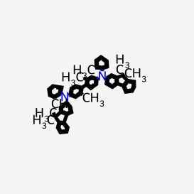 Cc1cc(N(c2ccc3c(c2)C(C)(C)c2ccccc2-3)c2ccccc2C)ccc1-c1ccc(N(c2ccc3c(c2)C(C)(C)c2ccccc2-3)c2ccccc2C)cc1C